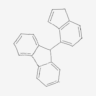 [c]1ccc2c(c1)C(c1cccc3c1C=CC3)c1ccccc1-2